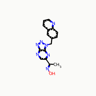 C/C(=N\O)c1cnc2nnn(Cc3ccc4ncccc4c3)c2n1